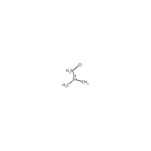 [CH3][SnH]([CH3])[SiH2]Cl